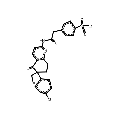 CCS(=O)(=O)c1ccc(CC(=O)Nc2ccc3c(n2)CCC(CO)(c2ccc(Cl)cc2)C3=O)cc1